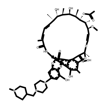 CO[C@H]1/C=C/O[C@@]2(C)Oc3c(C)c(O)c4c(=O)c(c5oc6cc(N7CCN(CC8CCN(C)CC8)CC7)cc(O)c6nc-5c4c3/C2=N/O)NC(=O)/C(C)=C\C=C\[C@H](C)[C@H](O)[C@@H](C)[C@@H](O)[C@@H](C)[C@H](OC(C)=O)[C@@H]1C